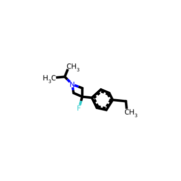 CCc1ccc(C2(F)CN(C(C)C)C2)cc1